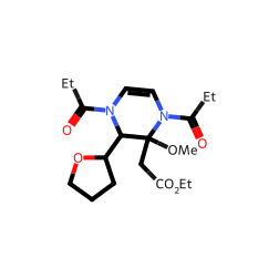 CCOC(=O)CC1(OC)C(C2CCCO2)N(C(=O)CC)C=CN1C(=O)CC